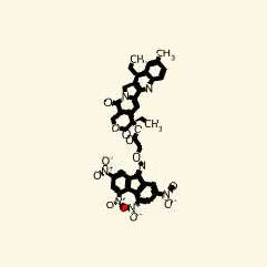 CCc1c2c(nc3ccc(C)cc13)-c1cc3c(c(=O)n1C2)COC(=O)[C@@]3(CC)OC(=O)CON=C1c2cc([N+](=O)[O-])cc([N+](=O)[O-])c2-c2c1cc([N+](=O)[O-])cc2[N+](=O)[O-]